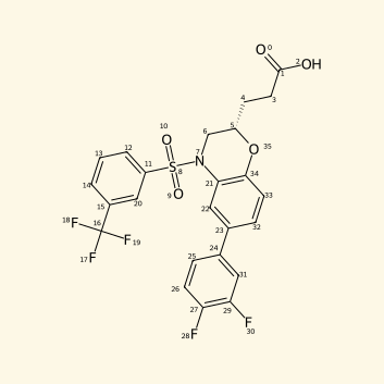 O=C(O)CC[C@H]1CN(S(=O)(=O)c2cccc(C(F)(F)F)c2)c2cc(-c3ccc(F)c(F)c3)ccc2O1